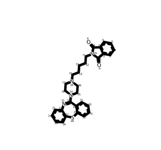 O=C1c2ccccc2C(=O)N1CCCCCN1CCN(C2=Nc3ccccc3Sc3ccccc32)CC1